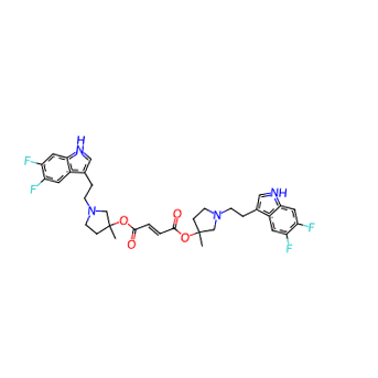 CC1(OC(=O)/C=C/C(=O)OC2(C)CCN(CCc3c[nH]c4cc(F)c(F)cc34)C2)CCN(CCc2c[nH]c3cc(F)c(F)cc23)C1